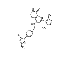 Cc1cnn(C(C)C)c1-c1nc(NCc2ccc(-c3nc(C(F)(F)F)cn3C(C)C)cc2)c2c(n1)C(=O)NCC2